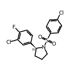 O=S(=O)(c1ccc(Cl)cc1)N1CCC[C@H]1c1ccc(F)c(Cl)c1